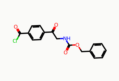 O=C(NCC(=O)c1ccc(C(=O)Cl)cc1)OCc1ccccc1